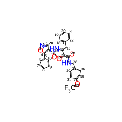 Cc1noc(-c2ccccc2)c1C(=O)N[C@@H](Cc1ccccc1)C(=O)C(=O)NCc1ccc(OC(F)(F)F)cc1